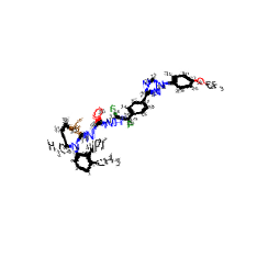 Cc1cccc(N2/C(=N/C(=O)N/C(F)=C(\F)c3ccc(-c4ncn(-c5ccc(OC(F)(F)F)cc5)n4)cc3)SCCC2C)c1C(C)C